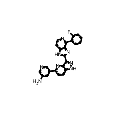 Nc1cncc(-c2ccc3[nH]nc(-c4nc5c(-c6ccccc6F)nccc5[nH]4)c3n2)c1